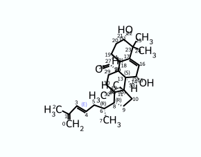 C=C(C)/C=C/C[C@@H](C)[C@H]1CC[C@@]2(C)[C@@H]3[C@@H](O)C=C4[C@@H](CC[C@H](O)C4(C)C)[C@]3(C=O)CC[C@]12C